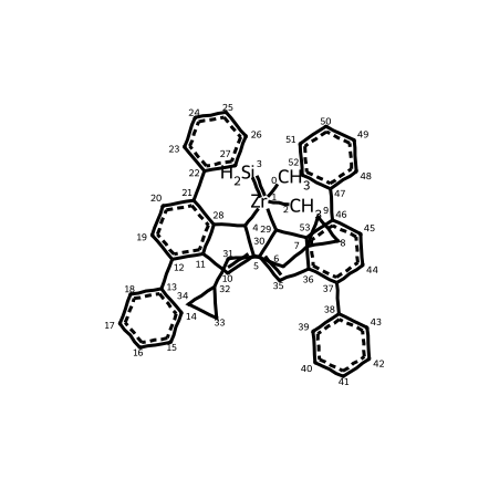 [CH3][Zr]([CH3])(=[SiH2])([CH]1C(CC2CC2)=Cc2c(-c3ccccc3)ccc(-c3ccccc3)c21)[CH]1C(CC2CC2)=Cc2c(-c3ccccc3)ccc(-c3ccccc3)c21